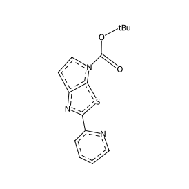 CC(C)(C)OC(=O)n1ccc2nc(-c3ccccn3)sc21